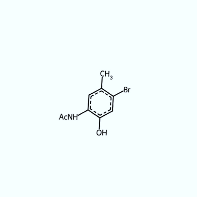 CC(=O)Nc1cc(C)c(Br)cc1O